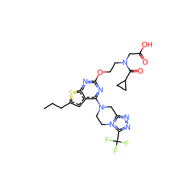 CCCc1cc2c(N3CCn4c(nnc4C(F)(F)F)C3)nc(OCCN(CC(=O)O)C(=O)C3CC3)nc2s1